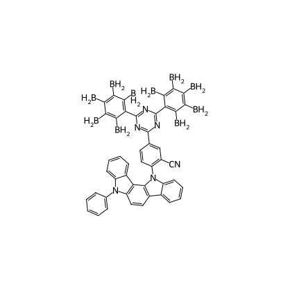 Bc1c(B)c(B)c(-c2nc(-c3ccc(-n4c5ccccc5c5ccc6c(c7ccccc7n6-c6ccccc6)c54)c(C#N)c3)nc(-c3c(B)c(B)c(B)c(B)c3B)n2)c(B)c1B